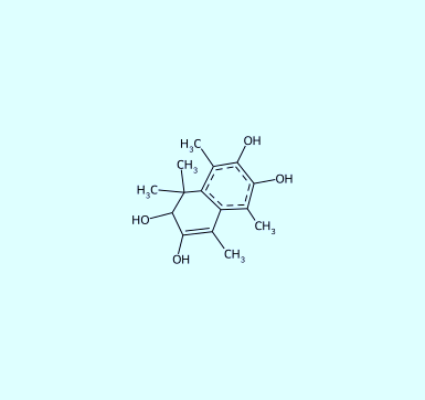 CC1=C(O)C(O)C(C)(C)c2c(C)c(O)c(O)c(C)c21